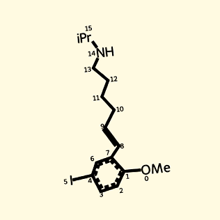 COc1ccc(I)cc1/C=C/CCCCNC(C)C